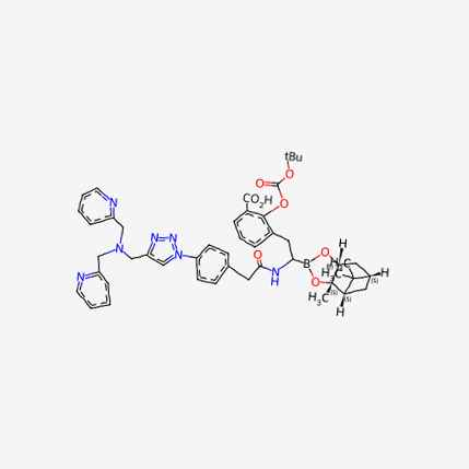 CC(C)(C)OC(=O)Oc1c(CC(NC(=O)Cc2ccc(-n3cc(CN(Cc4ccccn4)Cc4ccccn4)nn3)cc2)B2O[C@@H]3C[C@@H]4C[C@@H](C4(C)C)[C@]3(C)O2)cccc1C(=O)O